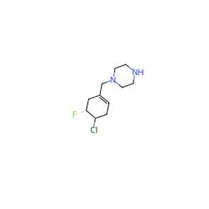 F[C@@H]1CC(CN2CCNCC2)=CCC1Cl